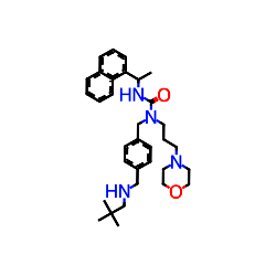 CC(NC(=O)N(CCCN1CCOCC1)Cc1ccc(CNCC(C)(C)C)cc1)c1cccc2ccccc12